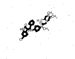 C[C@H]1CN(CC(=O)N(C)c2ccc(NC(=C3C(=O)Nc4cc(Cl)ccc43)c3ccccc3)cc2)[C@@H](C)CN1C